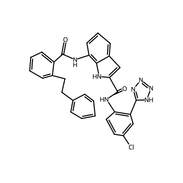 O=C(Nc1ccc(Cl)cc1-c1nnn[nH]1)c1cc2cccc(NC(=O)c3ccccc3CCc3ccccc3)c2[nH]1